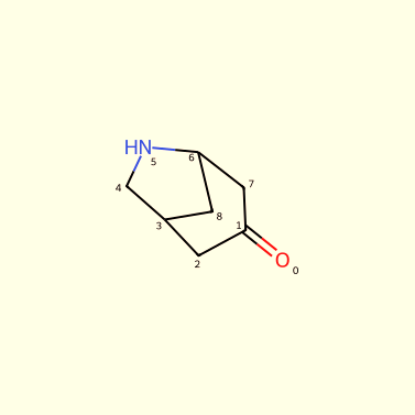 O=C1CC2CNC(C1)C2